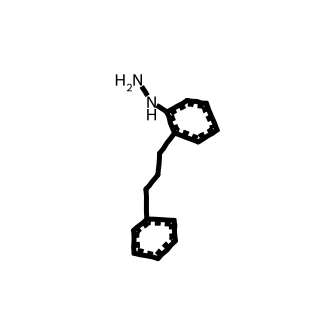 NNc1ccccc1CCCc1ccccc1